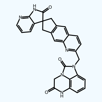 O=C1Cn2c(=O)n(Cc3ccc4cc5c(cc4n3)CC3(C5)C(=O)Nc4ncccc43)c3cccc(c32)N1